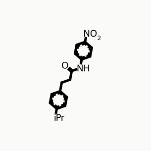 CC(C)c1ccc(CCC(=O)Nc2ccc([N+](=O)[O-])cc2)cc1